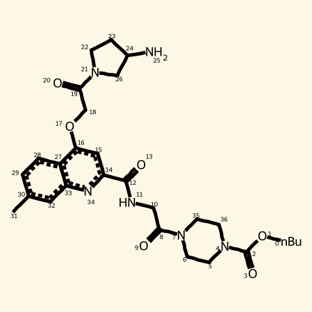 CCCCOC(=O)N1CCN(C(=O)CNC(=O)c2cc(OCC(=O)N3CCC(N)C3)c3ccc(C)cc3n2)CC1